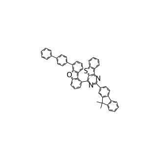 CC1(C)c2ccccc2-c2ccc(-c3nc(-c4cccc5oc6c(-c7ccc(-c8ccccc8)cc7)cccc6c45)c4sc5ccccc5c4n3)cc21